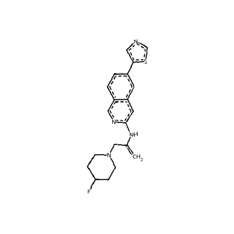 C=C(CN1CCC(F)CC1)Nc1cc2cc(-c3cncs3)ccc2cn1